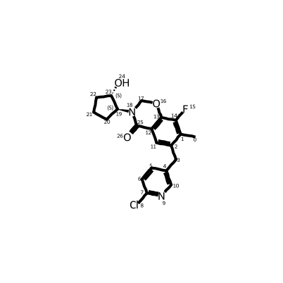 Cc1c(Cc2ccc(Cl)nc2)cc2c(c1F)OCN([C@H]1CCC[C@@H]1O)C2=O